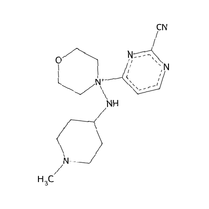 CN1CCC(N[N+]2(c3ccnc(C#N)n3)CCOCC2)CC1